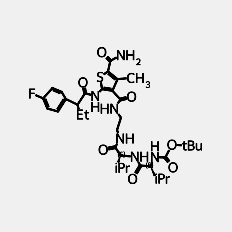 CCC(C(=O)Nc1sc(C(N)=O)c(C)c1C(=O)NCCNC(=O)[C@@H](NC(=O)[C@@H](NC(=O)OC(C)(C)C)C(C)C)C(C)C)c1ccc(F)cc1